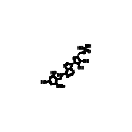 COc1cc(O)cc(O)c1CNc1ncnc2c1ncn2[C@@H]1O[C@H](COP(=O)(O)O)[C@@H](O)[C@H]1O